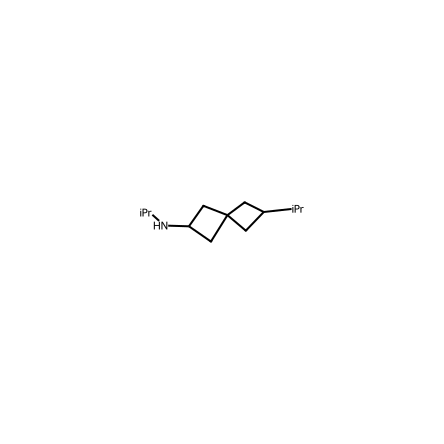 CC(C)NC1CC2(C1)CC(C(C)C)C2